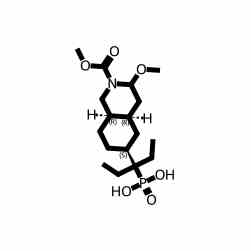 CCC(CC)([C@H]1CC[C@H]2CN(C(=O)OC)C(OC)C[C@H]2C1)P(=O)(O)O